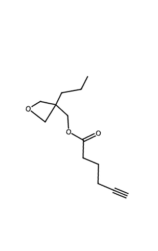 C#CCCCC(=O)OCC1(CCC)COC1